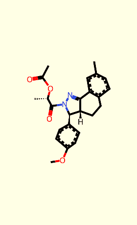 COc1ccc([C@@H]2[C@H]3CCc4ccc(C)cc4C3=NN2C(=O)[C@H](C)OC(C)=O)cc1